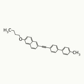 CCCCOc1ccc2cc(C#Cc3ccc(-c4ccc(C)cc4)cc3)ccc2c1